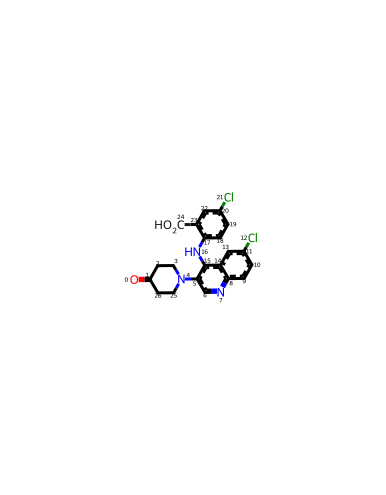 O=C1CCN(c2cnc3ccc(Cl)cc3c2Nc2ccc(Cl)cc2C(=O)O)CC1